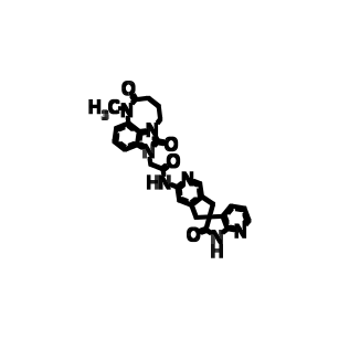 CN1C(=O)CCCn2c(=O)n(CC(=O)Nc3cc4c(cn3)CC3(C4)C(=O)Nc4ncccc43)c3cccc1c32